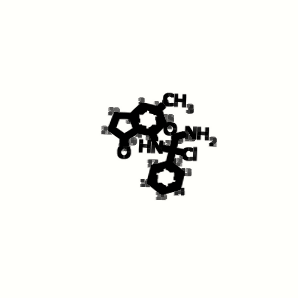 Cc1cc2c(c(NC(Cl)(C(N)=O)c3ccccc3)c1)C(=O)CC2